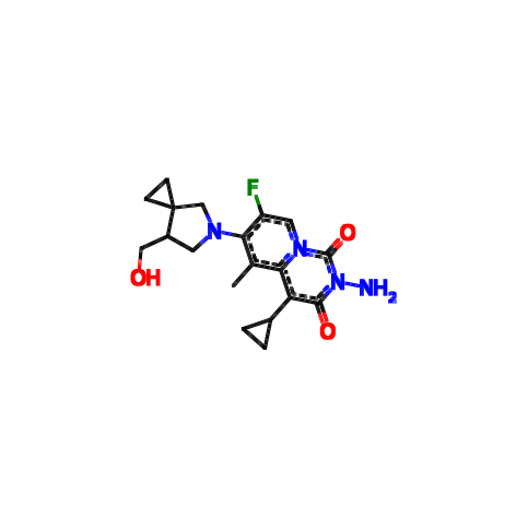 Cc1c(N2CC(CO)C3(CC3)C2)c(F)cn2c(=O)n(N)c(=O)c(C3CC3)c12